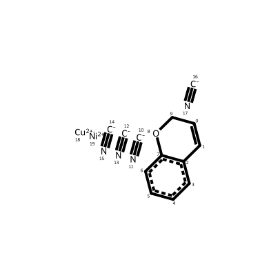 C1=Cc2ccccc2OC1.[C-]#N.[C-]#N.[C-]#N.[C-]#N.[Cu+2].[Ni+2]